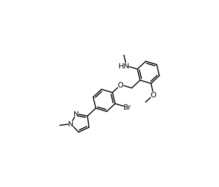 CNc1cccc(OC)c1COc1ccc(-c2ccn(C)n2)cc1Br